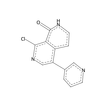 O=c1[nH]ccc2c(-c3cccnc3)cnc(Cl)c12